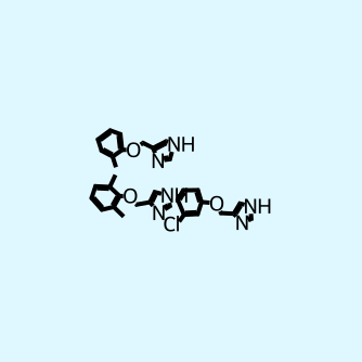 Cc1cccc(C)c1OCc1c[nH]cn1.Cc1ccccc1OCc1c[nH]cn1.Clc1cccc(OCc2c[nH]cn2)c1